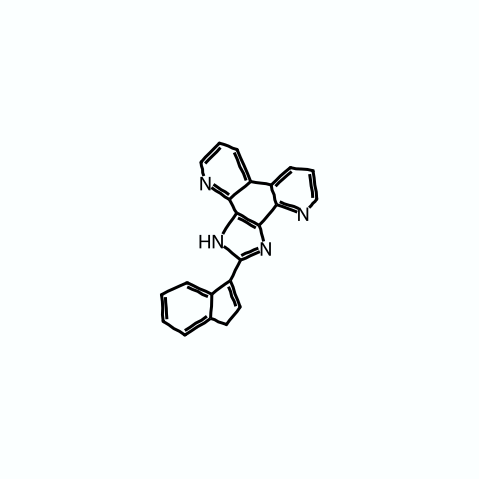 C1=C(c2nc3c4ncccc4c4cccnc4c3[nH]2)c2ccccc2C1